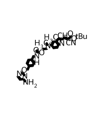 CN(CCOC(=O)NCc1ccc(COc2nccc(N)n2)cc1)c1ccc2c(c1)C(C)(C)C(/C=C(\C#N)C(=O)OC(C)(C)C)=N2